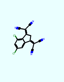 N#CC(C#N)=C1CC(=C(C#N)C#N)c2c(Cl)cc(Cl)cc21